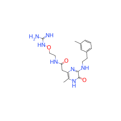 Cc1cccc(CCNc2nc(CC(=O)NCCONC(=N)N)c(C)[nH]c2=O)c1